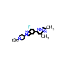 Cc1cn2nc(-c3cc(F)c4nn(C5CCN(C(C)(C)C)CC5)cc4c3)cc(C)c2n1